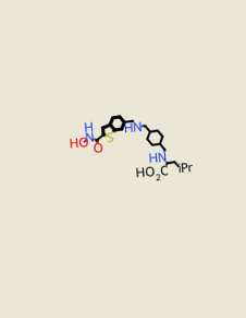 CC(C)CC(NCC1CCC(CNCc2ccc3cc(C(=O)NO)sc3c2)CC1)C(=O)O